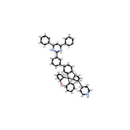 c1ccc(-c2cc(-c3ccccc3)nc(-c3cccc(-c4ccc5c(c4)C4(c6ccccc6Oc6ccccc64)c4cc(-c6ccncc6)ccc4-5)c3)n2)cc1